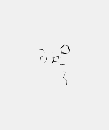 CCCCOC(=O)N1C(=O)[C@H](O[Si](CC)(CC)CC)[C@H]1c1ccccc1